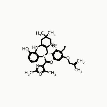 C=C(C)COc1ccc([C@H]2C3=C(CC(C)(C)C[S+]3[O-])Nc3c(O)cccc3N2C(=O)c2nc(C)oc2C)c(F)c1F